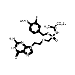 CCOC(=O)[C@H](C)NP(=O)(COCCn1cnc2c(=O)[nH]c(N)nc21)OCc1ccc(OC)c(F)c1